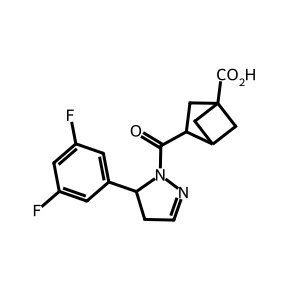 O=C(C1CC2(C(=O)O)CC1C2)N1N=CCC1c1cc(F)cc(F)c1